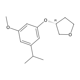 COc1cc(O[C@@H]2CCOC2)cc(C(C)C)c1